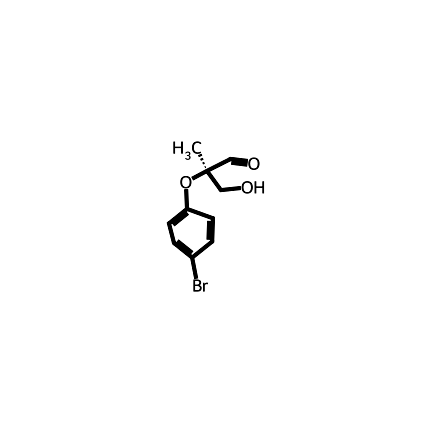 C[C@](C=O)(CO)Oc1ccc(Br)cc1